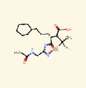 CC(=O)NCc1noc([C@H](CCCC2CCCCC2)C(C(=O)O)C(C)(C)C)n1